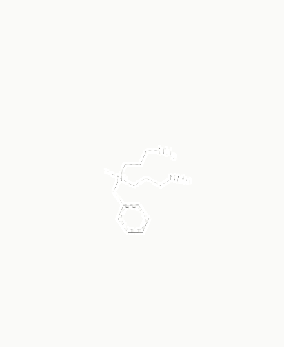 CNCCC[N+](C)(CCCN)Cc1ccccc1